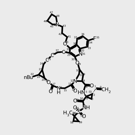 C=C[C@@H]1C[C@]1(NC(=O)C1CC2CN1C(=O)CNC(=O)OC1C(CCCC)C1CCCCCc1c(nc3cc(F)ccc3c1OCCCN1CCCC1)O2)C(=O)NS(=O)(=O)C1(C)CC1